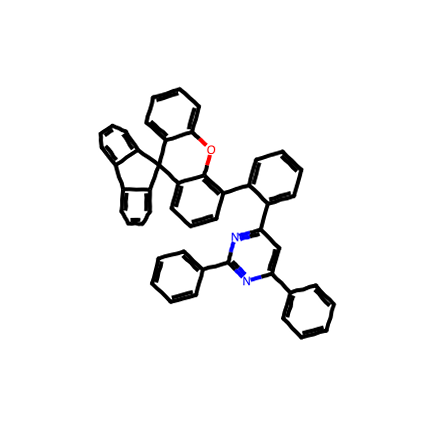 c1ccc(-c2cc(-c3ccccc3-c3cccc4c3Oc3ccccc3C43c4ccccc4-c4ccccc43)nc(-c3ccccc3)n2)cc1